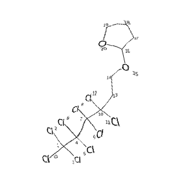 ClC(Cl)(Cl)C(Cl)(Cl)C(Cl)(Cl)C(Cl)(Cl)CCOC1CCCO1